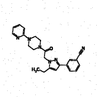 CCc1cc(-c2cccc(C#N)c2)nn1CC(=O)N1CCN(c2ccccn2)CC1